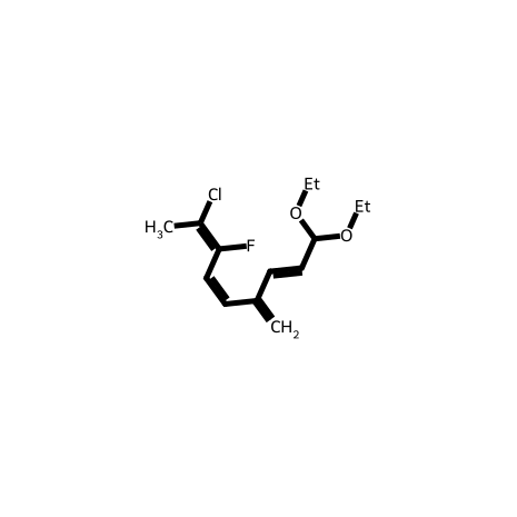 C=C(/C=C\C(F)=C(/C)Cl)/C=C/C(OCC)OCC